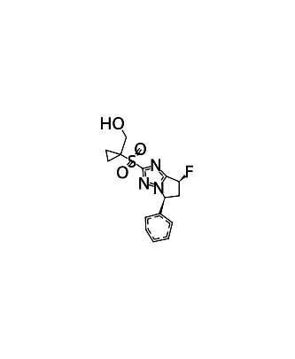 O=S(=O)(c1nc2n(n1)[C@H](c1ccccc1)C[C@@H]2F)C1(CO)CC1